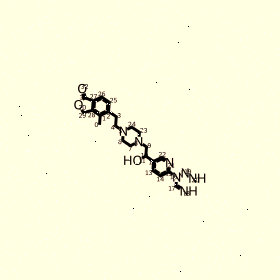 Cc1c(CCN2CCN(CC(O)c3ccc(N(C=N)N=N)nc3)CC2)ccc2c1COC2=O